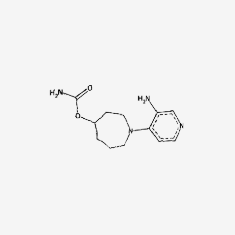 NC(=O)OC1CCCN(c2ccncc2N)CC1